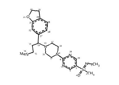 CN=S(C)(=O)c1cnc(N2CCN(C(CCSC)c3ccc4c(c3)OCC4)CC2)nc1